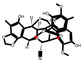 COc1cc2c(cc1O)CCN[C@]21CS[C@@H]2c3c(O)c(C)c4c(c3[C@H](CCOC1=O)N1[C@@H]2C2NC(Cc3cc(C)c(OC)c(O)c32)[C@@H]1C#N)OCO4